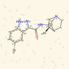 O=C(N[C@@H]1CN2CCC1CC2)c1n[nH]c2ccc(Br)cc12